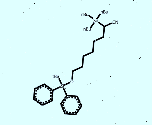 CCC[CH2][Sn]([CH2]CCC)([CH2]CCC)[CH](C#N)CCCCCCO[Si](c1ccccc1)(c1ccccc1)C(C)(C)C